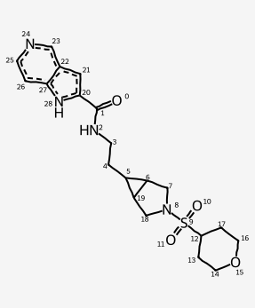 O=C(NCCC1C2CN(S(=O)(=O)C3CCOCC3)CC12)c1cc2cnccc2[nH]1